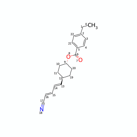 CCc1ccc(C(=O)O[C@H]2CC[C@H](C=CC=CC#N)CC2)cc1